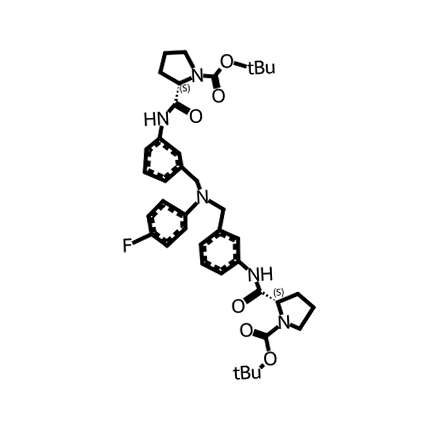 CC(C)(C)OC(=O)N1CCC[C@H]1C(=O)Nc1cccc(CN(Cc2cccc(NC(=O)[C@@H]3CCCN3C(=O)OC(C)(C)C)c2)c2ccc(F)cc2)c1